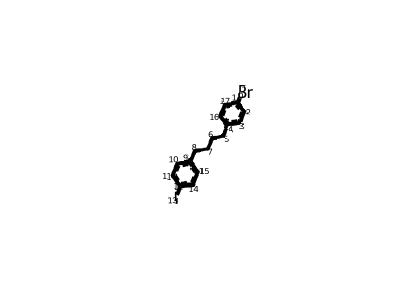 Brc1ccc(CCCCc2ccc(I)cc2)cc1